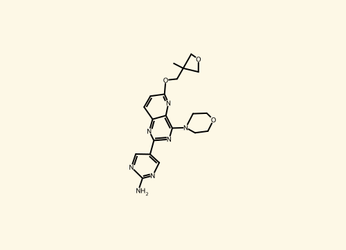 CC1(COc2ccc3nc(-c4cnc(N)nc4)nc(N4CCOCC4)c3n2)COC1